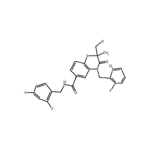 CC1(CCl)Sc2ccc(C(=O)NCc3ccc(F)cc3F)cc2N(Cc2c(F)cccc2Cl)C1=O